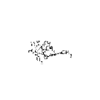 CC#CO[Si](C)(C)C(C)(C)C